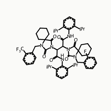 CC(C)c1cccc(C(C)C)c1NC(=O)C(C(C(=O)Nc1c(C(C)C)cccc1C(C)C)N1C(=O)N(Cc2ccccc2C(F)(F)F)C2(CCCCC2)C1=O)N1C(=O)N(Cc2ccccc2F)C2(CCCCC2)C1=O